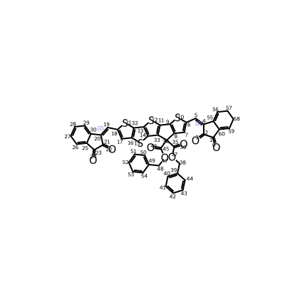 O=C1C(=O)/C(=C\c2cc3c(s2)-c2sc4c(sc5cc(/C=C6\C(=O)C(=O)c7ccccc76)sc54)c2C3(C(=O)OCc2ccccc2)C(=O)OCc2ccccc2)C2=CCCC=C12